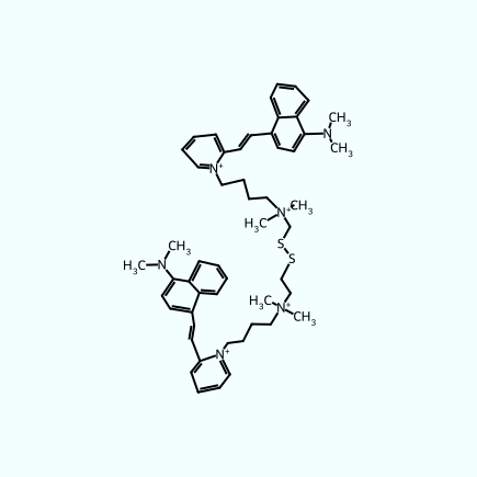 CN(C)c1ccc(/C=C/c2cccc[n+]2CCCC[N+](C)(C)CCSSC[N+](C)(C)CCCC[n+]2ccccc2/C=C/c2ccc(N(C)C)c3ccccc23)c2ccccc12